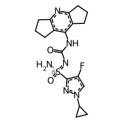 N[S@](=O)(=NC(=O)Nc1c2c(nc3c1CCC3)CCC2)c1nn(C2CC2)cc1F